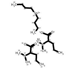 CCCC(C(=O)[O-])N(C)C.CCCC(C(=O)[O-])N(C)C.CCC[CH2][Sn+2][CH2]CCC